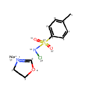 C1=NCCO1.Cc1ccc(S(=O)(=O)[N-]Cl)cc1.[Na+]